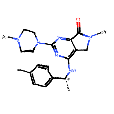 CC(=O)N1CCN(c2nc(N[C@H](C)c3ccc(C)cc3)c3c(n2)C(=O)N(C(C)C)C3)CC1